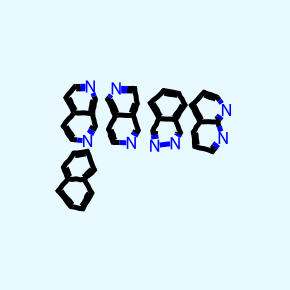 c1cc2ccncc2cn1.c1cc2cnccc2cn1.c1ccc2ccccc2c1.c1ccc2cnncc2c1.c1cnc2ncccc2c1